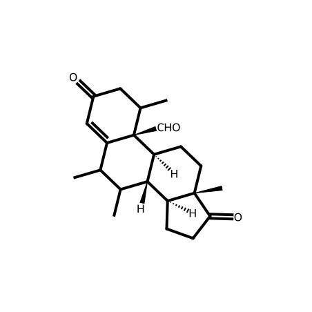 CC1C2=CC(=O)CC(C)[C@]2(C=O)[C@H]2CC[C@]3(C)C(=O)CC[C@H]3[C@@H]2C1C